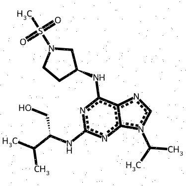 CC(C)[C@H](CO)Nc1nc(N[C@H]2CCN(S(C)(=O)=O)C2)c2ncn(C(C)C)c2n1